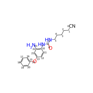 N#CCCCCCNC(=O)Nc1ccc(Oc2ccccc2)cc1N